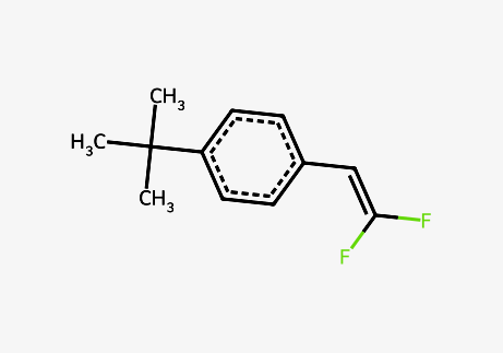 CC(C)(C)c1ccc(C=C(F)F)cc1